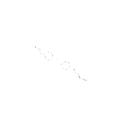 CCCC[C@H]1CC[C@H](CCC2CCC(C=CC=CC#N)CC2)CC1